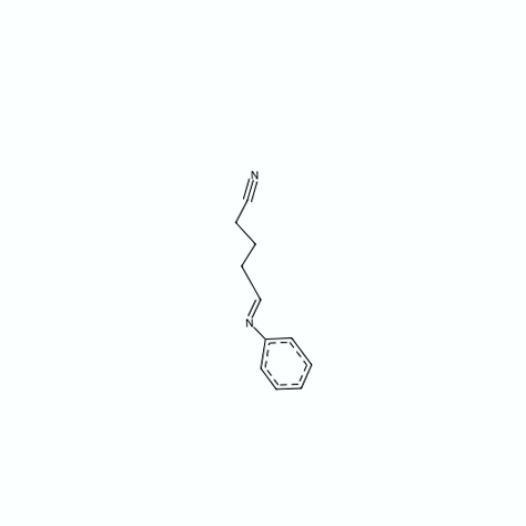 N#CCCCC=Nc1ccccc1